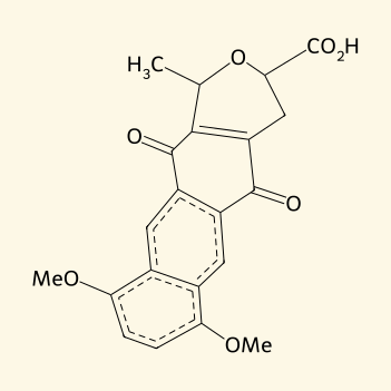 COc1ccc(OC)c2cc3c(cc12)C(=O)C1=C(C3=O)C(C)OC(C(=O)O)C1